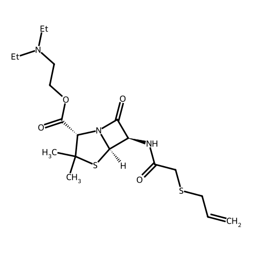 C=CCSCC(=O)N[C@@H]1C(=O)N2[C@@H]1SC(C)(C)[C@@H]2C(=O)OCCN(CC)CC